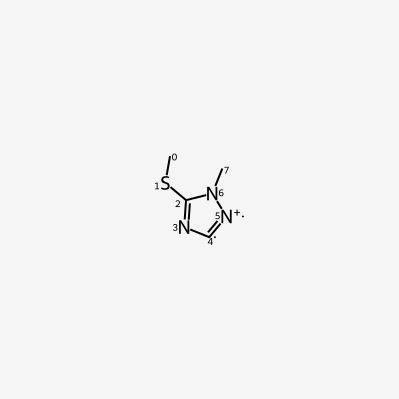 CSC1=N[C]=[N+]N1C